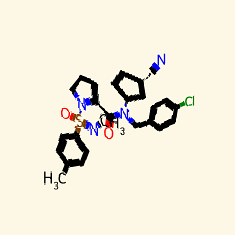 CN=[S@](=O)(c1ccc(C)cc1)N1CCC[C@H]1C(=O)N(Cc1ccc(Cl)cc1)[C@@H]1CC[C@H](C#N)C1